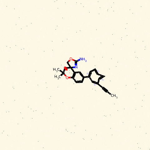 CC#CC1=C/C(c2ccc3c(c2)C2(COC(N)=N2)C2(COC2)C(C)(C)O3)=C\C=C\C=C\1